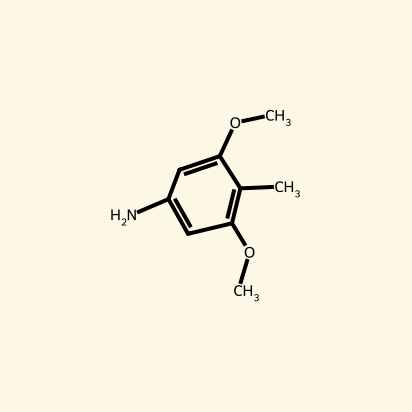 COc1cc(N)cc(OC)c1C